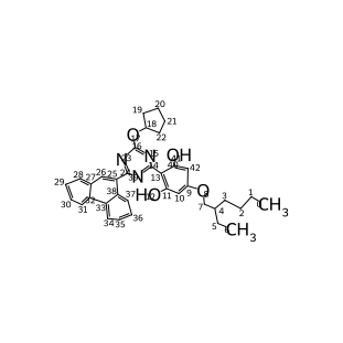 CCCCC(CC)COc1cc(O)c(-c2nc(OC3CCCC3)nc(-c3cc4ccccc4c4ccccc34)n2)c(O)c1